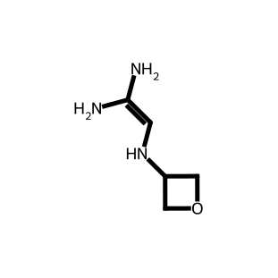 NC(N)=CNC1COC1